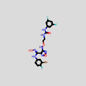 O=C(NCCONc1nonc1/C(=N/O)Nc1ccc(F)c(Br)c1)Nc1cc(F)cc(F)c1